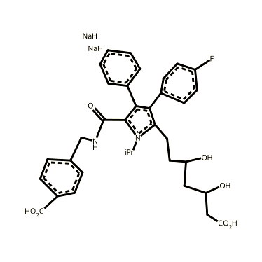 CC(C)n1c(CCC(O)CC(O)CC(=O)O)c(-c2ccc(F)cc2)c(-c2ccccc2)c1C(=O)NCc1ccc(C(=O)O)cc1.[NaH].[NaH]